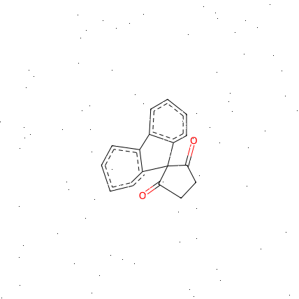 O=C1CCC(=O)C12c1ccccc1-c1ccccc12